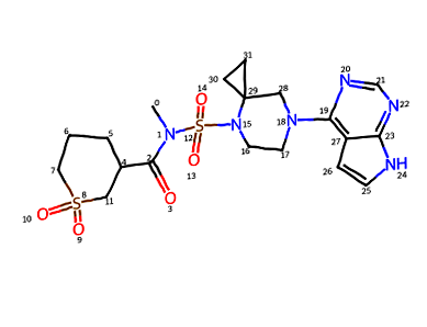 CN(C(=O)C1CCCS(=O)(=O)C1)S(=O)(=O)N1CCN(c2ncnc3[nH]ccc23)CC12CC2